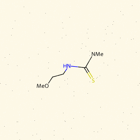 CNC(=S)NCCOC